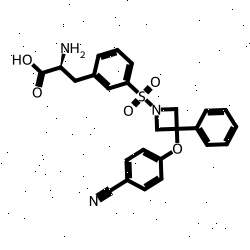 N#Cc1ccc(OC2(c3ccccc3)CN(S(=O)(=O)c3cccc(C[C@H](N)C(=O)O)c3)C2)cc1